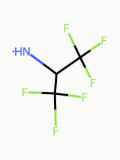 [NH]C(C(F)(F)F)C(F)(F)F